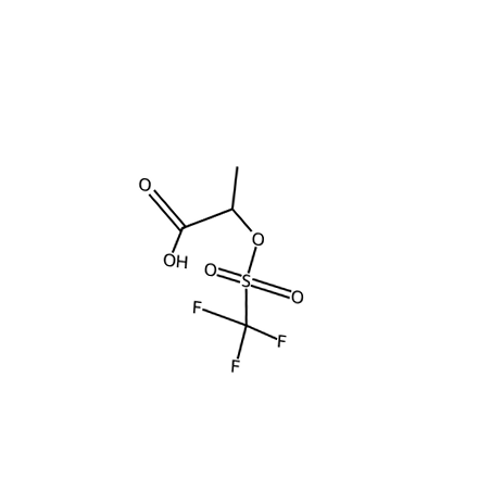 CC(OS(=O)(=O)C(F)(F)F)C(=O)O